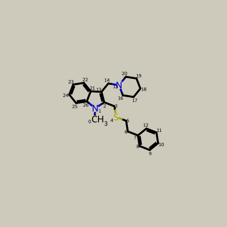 Cn1c(CSCCc2ccccc2)c(CN2CCCCC2)c2ccccc21